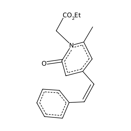 CCOC(=O)Cn1c(C)cc(/C=C\c2ccccc2)cc1=O